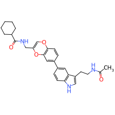 CC(=O)NCCc1c[nH]c2ccc(-c3ccc4c(c3)OC(CNC(=O)C3CCCCC3)=CO4)cc12